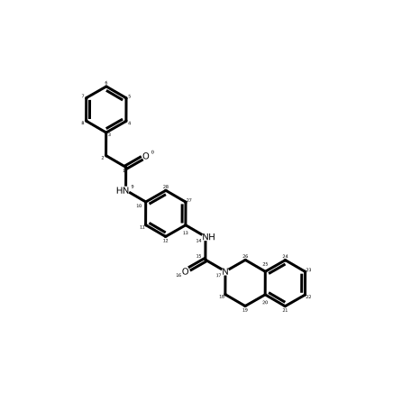 O=C(Cc1ccccc1)Nc1ccc(NC(=O)N2CCc3ccccc3C2)cc1